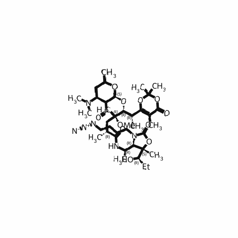 CC[C@@H](O)[C@@]1(C)OC(=O)N(CCCCN=[N+]=[N-])[C@@H]1[C@@H](C)NC(=O)[C@H](C)C[C@@](C)(OC)[C@H](O[C@@H]1OC(C)CC(N(C)C)C1P=O)[C@@H](C)C1=C(C)C(=O)OC(C)(C)O1